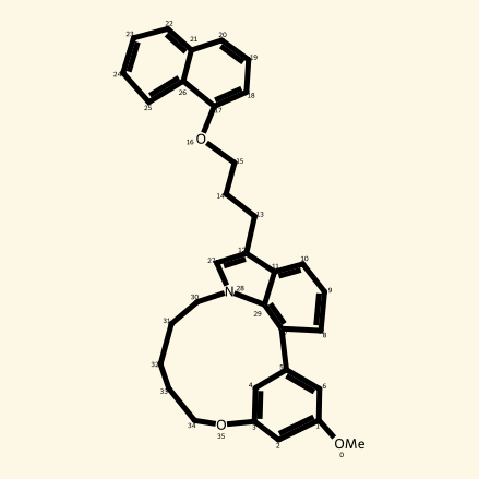 COc1cc2cc(c1)-c1cccc3c(CCCOc4cccc5ccccc45)cn(c13)CCCCCO2